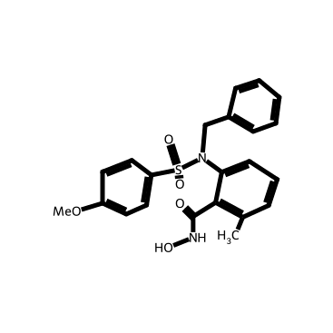 COc1ccc(S(=O)(=O)N(Cc2ccccc2)c2cccc(C)c2C(=O)NO)cc1